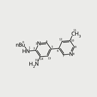 CCCCNc1ncc(-c2cncc(C)c2)cc1N